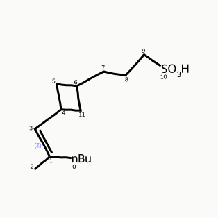 CCCC/C(C)=C\C1CC(CCCS(=O)(=O)O)C1